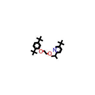 CC(COCCOc1cc(C(C)(C)C)ccc1C(C)(C)C)c1ccc(C(C)(C)C)cn1